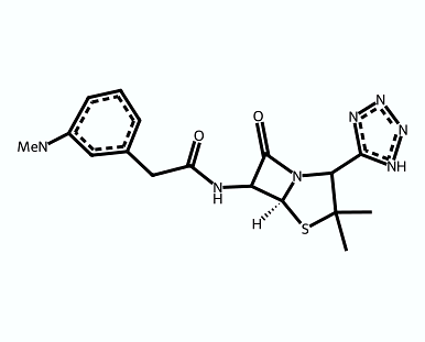 CNc1cccc(CC(=O)NC2C(=O)N3C(c4nnn[nH]4)C(C)(C)S[C@@H]23)c1